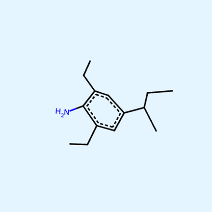 CCc1cc(C(C)CC)cc(CC)c1N